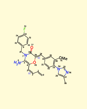 C=C/C=C\C1=C(N)N(Cc2ccc(F)cc2)C(=O)/C(=C/c2ccc(-n3cnc(C)c3)c(OC)c2)O1